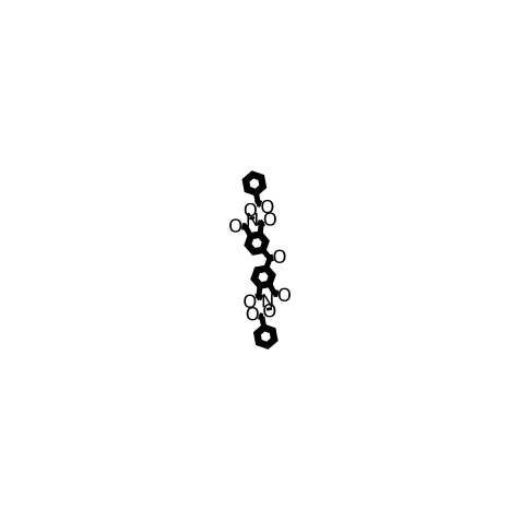 O=C(ON1C(=O)c2ccc(C(=O)c3ccc4c(c3)C(=O)N(OC(=O)c3ccccc3)C4=O)cc2C1=O)c1ccccc1